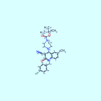 Cc1ccc2c(c1)c(N1CCN(C(=O)OC(C)(C)C)CC1)c(C#N)c(=O)n2Cc1ccc(F)cc1